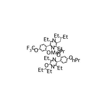 CCCOc1ccc(-c2nc(CC)c(OC(CC)CC)nc2CC)c(OC(C)C)c1.CCc1nc(-c2ccc(OC(F)(F)F)cc2OC)c(CC)nc1CC(CC)CC